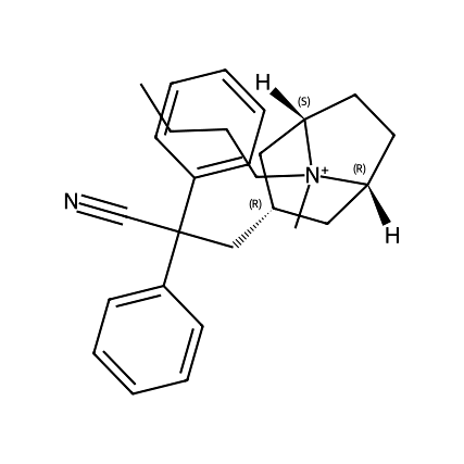 CCCC[N+]1(C)[C@@H]2CC[C@H]1C[C@@H](CC(C#N)(c1ccccc1)c1ccccc1)C2